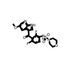 COc1cnc2[nH]cc(C(=O)c3c(F)ccc(NS(=O)(=O)N4CCOCC4)c3F)c2c1